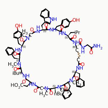 CCCC[C@H]1C(=O)N(C)CC(=O)N[C@@H](CC(=O)O)C(=O)N[C@@H]([C@@H](C)CC)C(=O)N(C)[C@@H](Cc2ccccc2)C(=O)N[C@@H](Cc2ccc(O)cc2)C(=O)N(C)CC(=O)N[C@@H](Cc2c[nH]c3ccccc23)C(=O)NC(Cc2ccc(O)cc2)C(=O)N[C@@H](CC(C)C)C(=O)N[C@H](C(=O)NCC(N)=O)CSCC(=O)N[C@@H](Cc2ccccc2)C(=O)N(C)[C@@H](Cc2ccccc2)C(=O)N1C